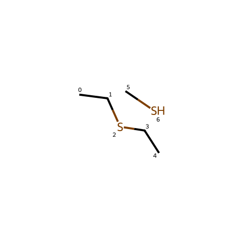 CCSCC.CS